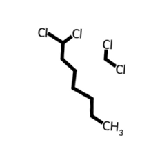 CCCCCCC(Cl)Cl.ClCCl